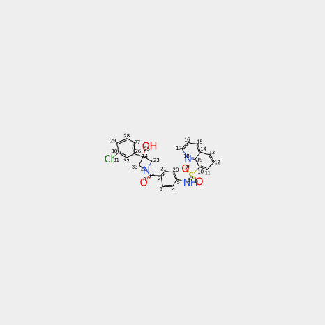 O=C(c1ccc(NS(=O)(=O)c2cccc3cccnc23)cc1)N1CC(O)(c2cccc(Cl)c2)C1